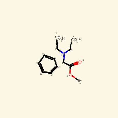 CC(C)OC(=O)CN(CC(=O)O)CC(=O)O.c1ccccc1